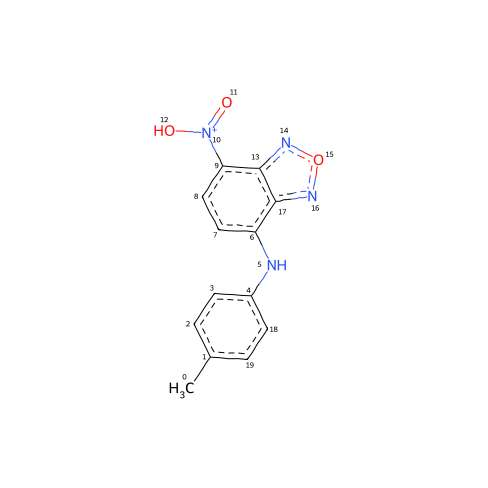 Cc1ccc(Nc2ccc([N+](=O)O)c3nonc23)cc1